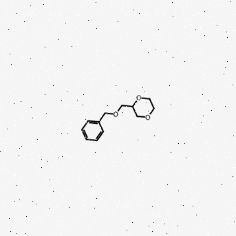 c1ccc(COCC2COCCO2)cc1